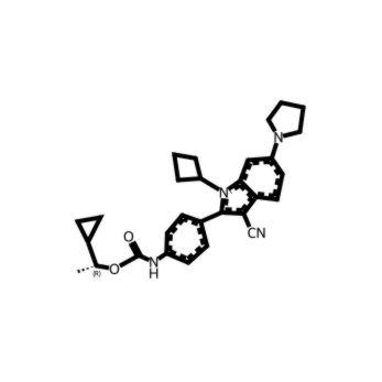 C[C@@H](OC(=O)Nc1ccc(-c2c(C#N)c3ccc(N4CCCC4)cc3n2C2CCC2)cc1)C1CC1